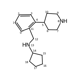 [c]1cccc(C2CCNCC2)c1CNC1CCCC1